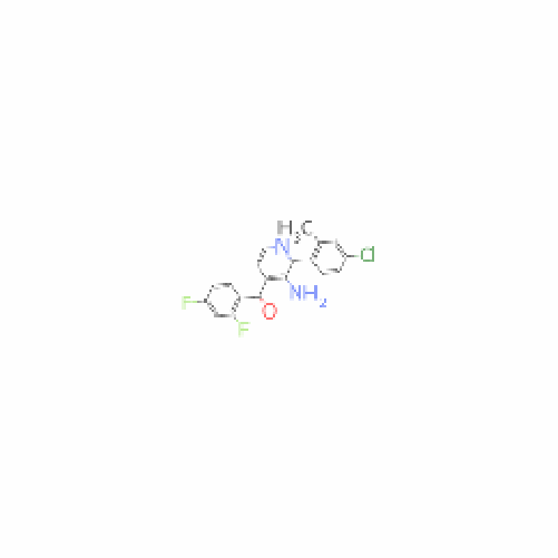 Cc1cc(Cl)ccc1-c1nccc(C(=O)c2ccc(F)cc2F)c1N